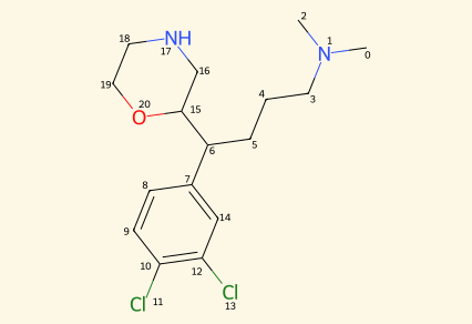 CN(C)CCCC(c1ccc(Cl)c(Cl)c1)C1CNCCO1